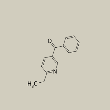 CCc1ccc(C(=O)c2ccccc2)cn1